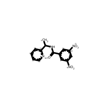 CC(NC(=O)c1cc([N+](=O)[O-])cc([N+](=O)[O-])c1)c1ccccn1